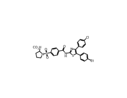 CCc1ccc(-c2sc(NC(=O)c3ccc(S(=O)(=O)N4CCCC4C(=O)O)cc3)nc2-c2ccc(Cl)cc2)cc1